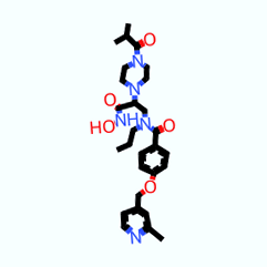 CCCN(CC(C(=O)NO)N1CCN(C(=O)C(C)C)CC1)C(=O)c1ccc(OCc2ccnc(C)c2)cc1